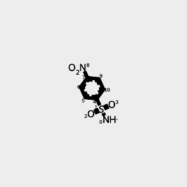 [NH]S(=O)(=O)c1ccc([N+](=O)[O-])cc1